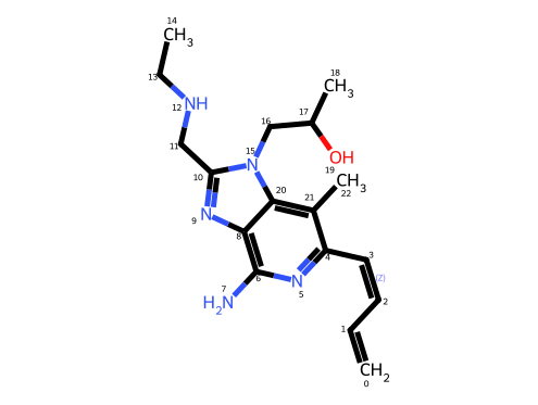 C=C/C=C\c1nc(N)c2nc(CNCC)n(CC(C)O)c2c1C